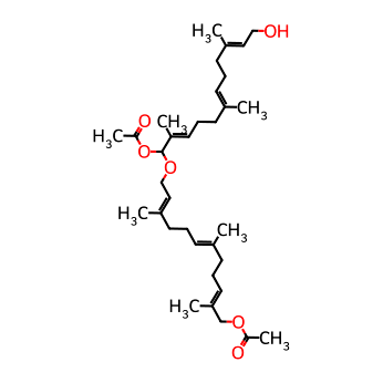 CC(=O)OCC(C)=CCCC(C)=CCCC(C)=CCOC(OC(C)=O)C(C)=CCCC(C)=CCCC(C)=CCO